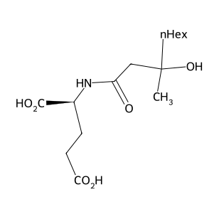 CCCCCCC(C)(O)CC(=O)N[C@@H](CCC(=O)O)C(=O)O